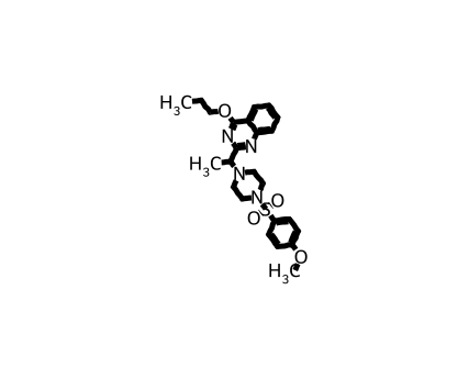 CCCOc1nc(C(C)N2CCN(S(=O)(=O)c3ccc(OC)cc3)CC2)nc2ccccc12